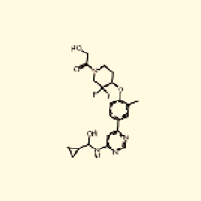 Cc1cc(-c2cc(NC(O)C3CC3)ncn2)ccc1OC1CCN(C(=O)CO)CC1(F)F